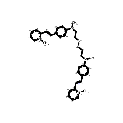 CN(CCSSCCN(C)c1ccc(/C=C/c2cccc[n+]2C)cc1)c1ccc(/C=C/c2cccc[n+]2C)cc1